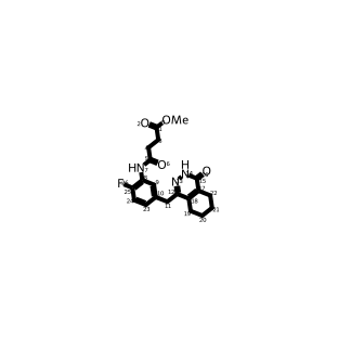 COC(=O)CCC(=O)Nc1cc(Cc2n[nH]c(=O)c3c2CCCC3)ccc1F